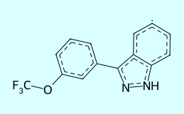 FC(F)(F)Oc1cccc(-c2n[nH]c3cc[c]cc23)c1